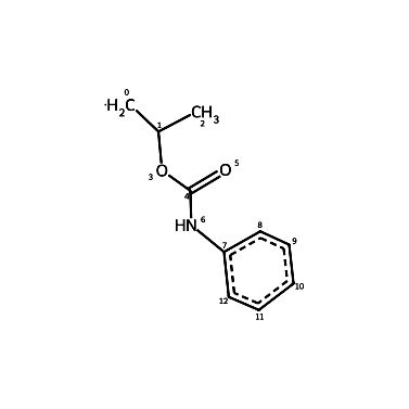 [CH2]C(C)OC(=O)Nc1ccccc1